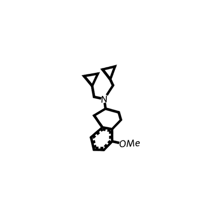 COc1cccc2c1CCC(N(CC1CC1)CC1CC1)C2